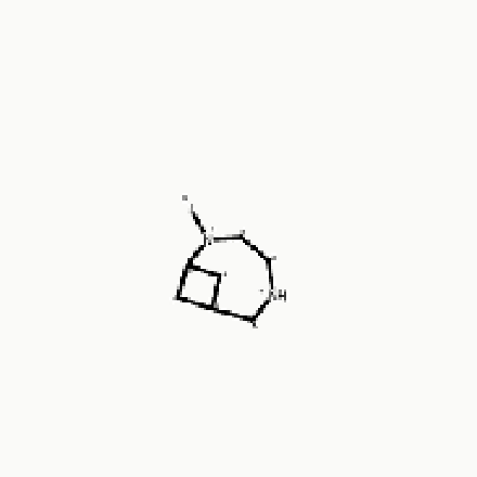 IN1CCNCC2CC1C2